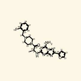 C[C@H](Nc1nc(N)n2nc(-c3ccco3)nc2n1)C(=O)N1CCN(Cc2ccccc2F)CC1